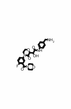 NCc1ccc(NC(=O)C(O)C2OCCN(c3ccc(F)c(C(=O)N4CCOCC4)c3)C2=O)cc1